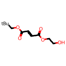 CC(C)(C)COC(=O)/C=C/C(=O)OCCO